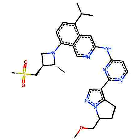 COCC1CCc2c(-c3nccc(Nc4cc5c(C(C)C)ccc(N6C[C@H](CS(C)(=O)=O)[C@H]6C)c5cn4)n3)cnn21